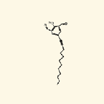 CCCCCCCCCCC#Cc1cc(C=O)c(O)c(C=O)c1